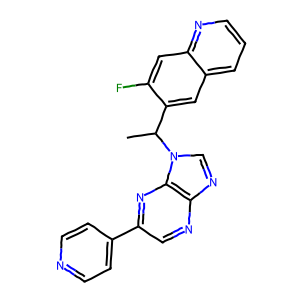 CC(c1cc2cccnc2cc1F)n1cnc2ncc(-c3ccncc3)nc21